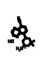 CC1(C)C[C@@H](N)CN(c2ccc(C#N)c3nccnc23)C1.Cl